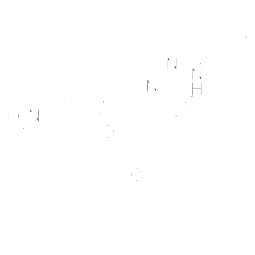 O=C(OC1CC(c2coc3c(N[C@H]4CCc5ccccc54)ncnc23)CC1COCc1ccccc1)c1ccc([N+](=O)[O-])cc1